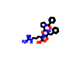 N=C(N)NCCCC(NC(=O)C(Cc1ccccc1)NC(=O)C1CCCN1C(=O)c1ccccc1)C(=O)O